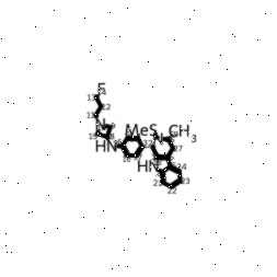 CSN1[C@@H](c2ccc(NC3CN(CCCF)C3)cc2)c2[nH]c3ccccc3c2C[C@H]1C